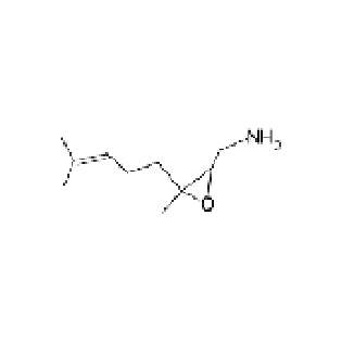 CC(C)=CCCC1(C)OC1CN